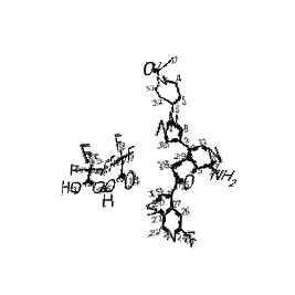 CC(=O)N1CCC(n2cc(-c3cnc(N)c4oc(-c5csc6cnc(F)cc56)cc34)cn2)CC1.O=C(O)C(F)(F)F.O=C(O)C(F)(F)F